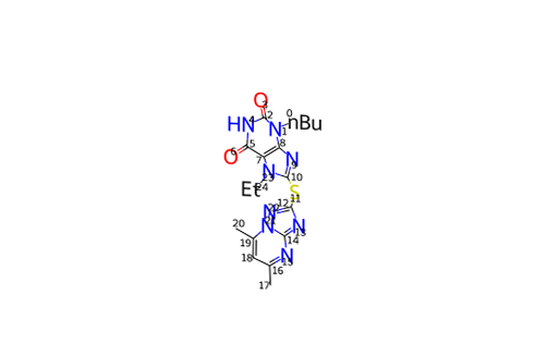 CCCCn1c(=O)[nH]c(=O)c2c1nc(Sc1nc3nc(C)cc(C)n3n1)n2CC